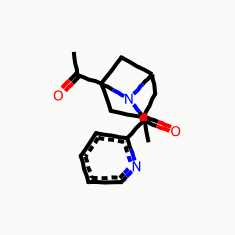 CC(=O)C12CC(C)CC(C1)N2C(=O)c1ccccn1